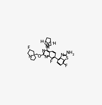 Nc1nc2c(-c3ccc4c(N5C[C@H]6CC[C@@H](C5)N6)nc(OC[C@@]56CCCN5C[C@H](F)C6)nc4c3F)ccc(F)c2s1